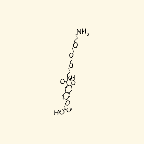 NCCCOCCOCCOCCCNC(=O)C1=Cc2ccc(OCC(=O)O)cc2CC1=O